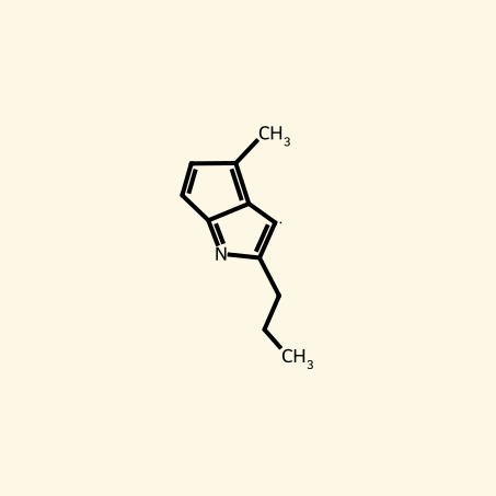 CCCC1=[C]C2=C(C)C=CC2=N1